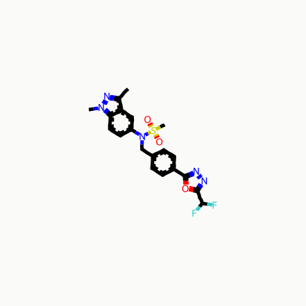 Cc1nn(C)c2ccc(N(Cc3ccc(-c4nnc(C(F)F)o4)cc3)S(C)(=O)=O)cc12